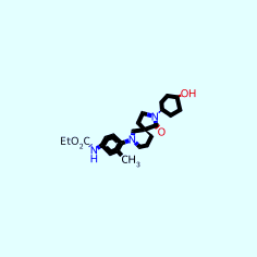 CCOC(=O)Nc1ccc(N2CCC[C@]3(CCN([C@H]4CC[C@H](O)CC4)C3=O)C2)c(C)c1